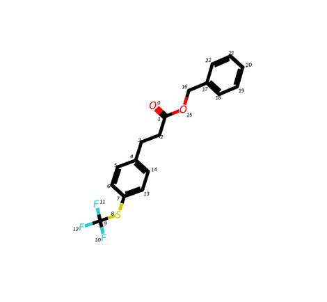 O=C([CH]Cc1ccc(SC(F)(F)F)cc1)OCc1ccccc1